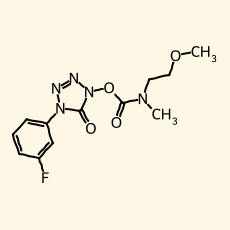 COCCN(C)C(=O)On1nnn(-c2cccc(F)c2)c1=O